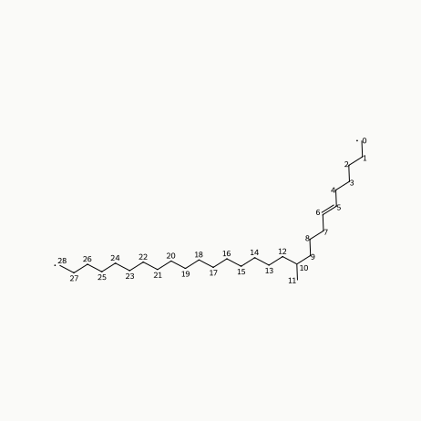 [CH2]CCCCC=CCCCC(C)CCCCCCCCCCCCCCCC[CH2]